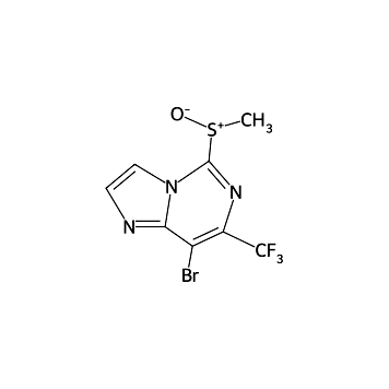 C[S+]([O-])c1nc(C(F)(F)F)c(Br)c2nccn12